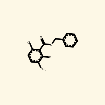 Cc1ccc(Cl)c(C(=O)OCc2ccccc2)c1F